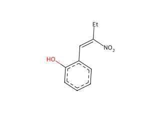 CCC(=Cc1ccccc1O)[N+](=O)[O-]